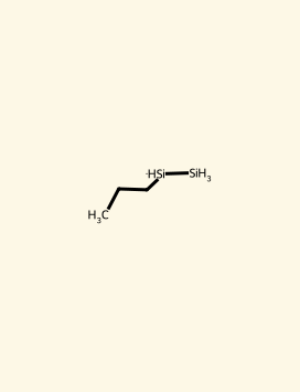 CCC[SiH][SiH3]